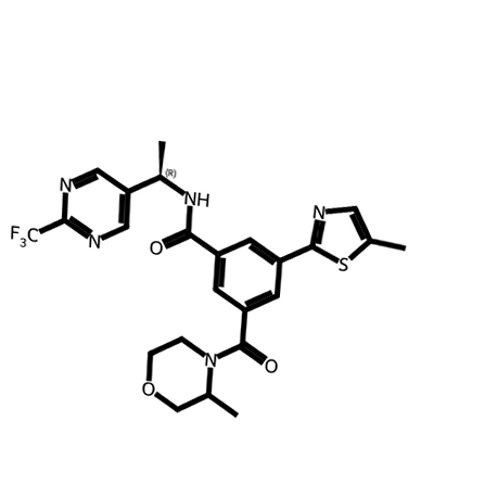 Cc1cnc(-c2cc(C(=O)N[C@H](C)c3cnc(C(F)(F)F)nc3)cc(C(=O)N3CCOCC3C)c2)s1